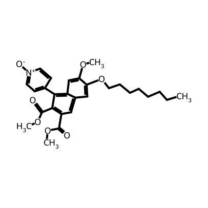 CCCCCCCCOc1cc2cc(C(=O)OC)c(C(=O)OC)c(-c3cc[n+]([O-])cc3)c2cc1OC